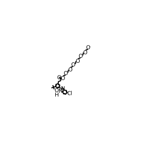 COCCOCCOCCOCCOCCOCCOCCOC(=O)CCc1cc(-n2nc3ccc(Cl)cc3n2)c(O)c(C(C)(C)C)c1